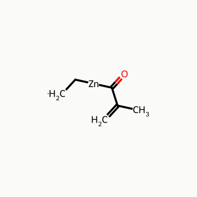 [CH2][CH2][Zn][C](=O)C(=C)C